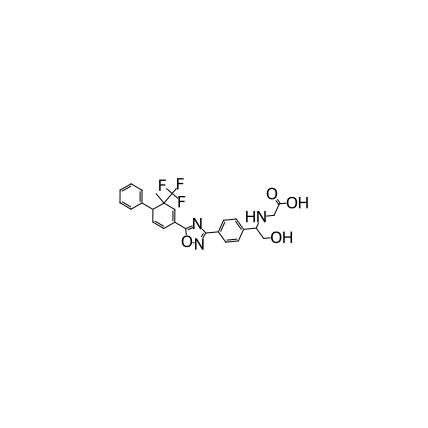 CC1(C(F)(F)F)C=C(c2nc(-c3ccc(C(CO)NCC(=O)O)cc3)no2)C=CC1c1ccccc1